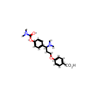 CN(C)C(=O)Oc1ccc(C(CCOc2ccc(C(=O)O)cc2)N(C)C)cc1